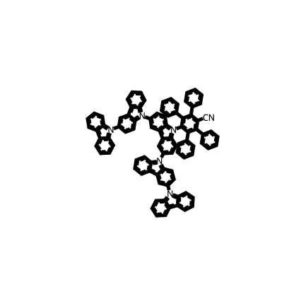 N#Cc1c(-c2ccccc2)c(-c2ccccc2)c(-n2c3ccc(-n4c5ccccc5c5cc(-n6c7ccccc7c7ccccc76)ccc54)cc3c3cc(-n4c5ccccc5c5cc(-n6c7ccccc7c7ccccc76)ccc54)ccc32)c(-c2ccccc2)c1-c1ccccc1